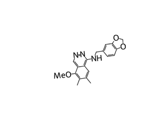 COc1c(C)c(C)cc2c(NCc3ccc4c(c3)OCO4)nncc12